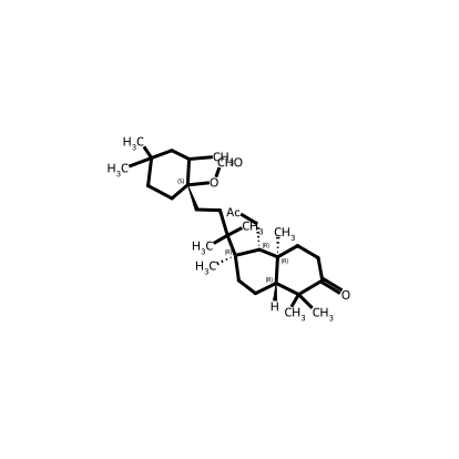 CC(=O)C[C@@H]1[C@@]2(C)CCC(=O)C(C)(C)[C@@H]2CC[C@@]1(C)C(C)(C)CC[C@@]1(OC=O)CCC(C)(C)CC1C